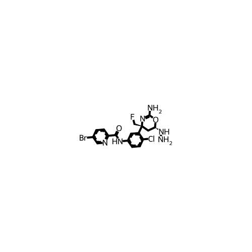 NN[C@@H]1C[C@](CF)(c2cc(NC(=O)c3ccc(Br)cn3)ccc2Cl)N=C(N)O1